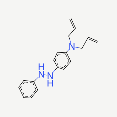 C=CCN(CC=C)c1ccc(NNc2ccccc2)cc1